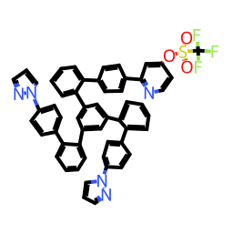 O=S(=O)(Oc1ccnc(-c2ccc(-c3ccccc3-c3cc(-c4ccccc4-c4ccc(-n5cccn5)cc4)cc(-c4ccccc4-c4ccc(-n5cccn5)cc4)c3)cc2)c1)C(F)(F)F